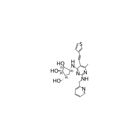 Cc1nc(NCc2ccccn2)nc(N[C@@H]2C[C@H](CO)[C@@H](O)[C@H]2O)c1C#Cc1ccsc1